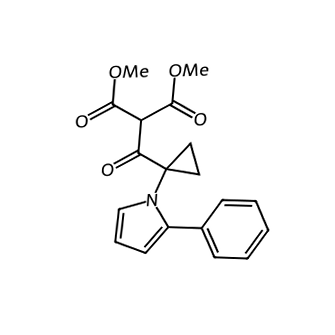 COC(=O)C(C(=O)OC)C(=O)C1(n2cccc2-c2ccccc2)CC1